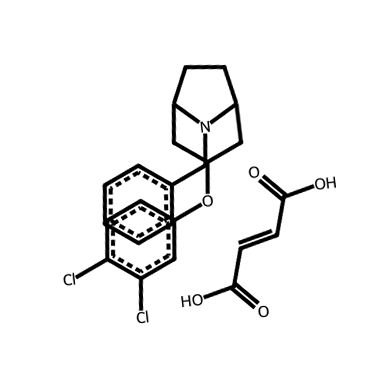 Clc1ccc(OC2CC3CCC(C2)N3Cc2ccccc2)cc1Cl.O=C(O)/C=C/C(=O)O